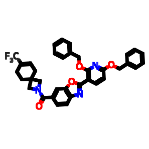 O=C(c1ccc2nc(-c3ccc(OCc4ccccc4)nc3OCc3ccccc3)oc2c1)N1CC2(CC=C(C(F)(F)F)CC2)C1